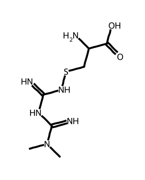 CN(C)C(=N)NC(=N)NSCC(N)C(=O)O